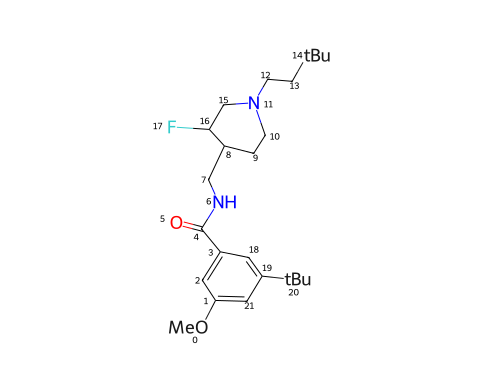 COc1cc(C(=O)NCC2CCN(CCC(C)(C)C)CC2F)cc(C(C)(C)C)c1